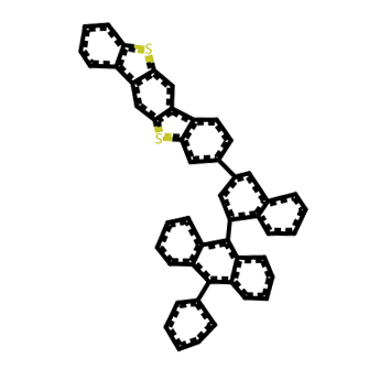 c1ccc(-c2c3ccccc3c(-c3cc(-c4ccc5c(c4)sc4cc6c(cc45)sc4ccccc46)cc4ccccc34)c3ccccc23)cc1